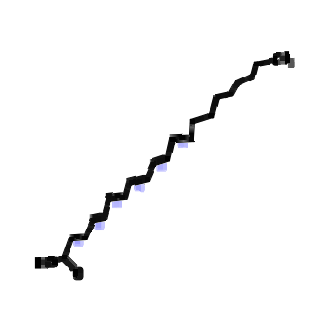 CCCCCCCC/C=C/C=C/C=C/C=C/C=C/C=C/C(=O)O